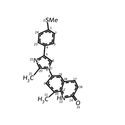 CSc1ccc(-c2cn(-c3cc(C)c4[nH]c(=O)ccc4c3)c(C)n2)cc1